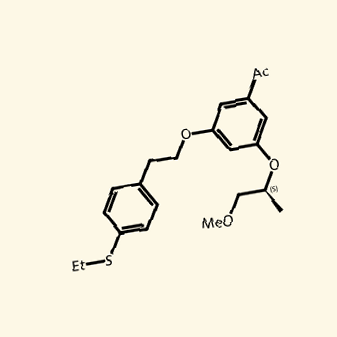 CCSc1ccc(CCOc2cc(O[C@@H](C)COC)cc(C(C)=O)c2)cc1